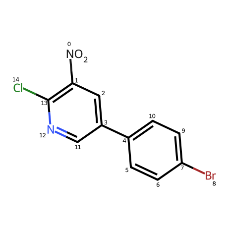 O=[N+]([O-])c1cc(-c2ccc(Br)cc2)cnc1Cl